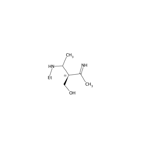 CCNC(C)[C@H](CO)C(C)=N